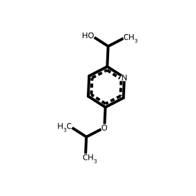 CC(C)Oc1ccc(C(C)O)nc1